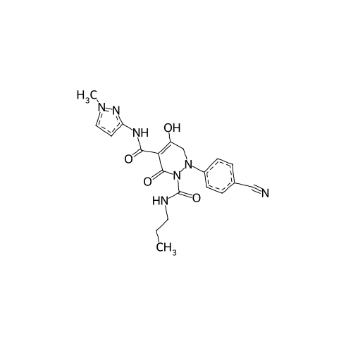 CCCNC(=O)N1C(=O)C(C(=O)Nc2ccn(C)n2)=C(O)CN1c1ccc(C#N)cc1